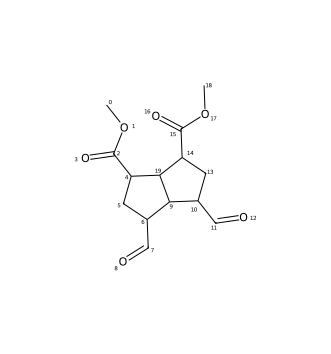 COC(=O)C1CC(C=O)C2C(C=O)CC(C(=O)OC)C12